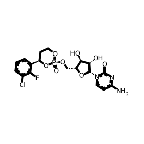 Nc1ccn([C@@H]2O[C@H](CO[P@]3(=O)OCC[C@H](c4cccc(Cl)c4F)O3)[C@@H](O)[C@@H]2O)c(=O)n1